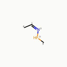 C/C=N\PC